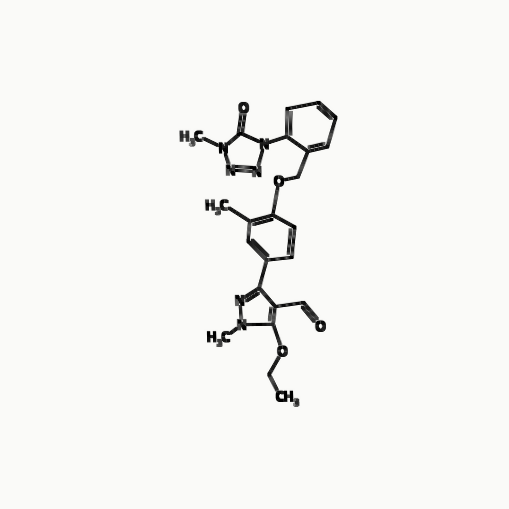 CCOc1c(C=O)c(-c2ccc(OCc3ccccc3-n3nnn(C)c3=O)c(C)c2)nn1C